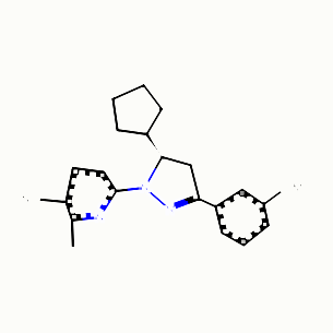 COc1cccc(C2=NN(c3ccc(C#N)c(C)n3)[C@@H](C3CCCC3)C2)c1